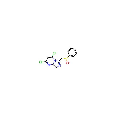 [O-][S+](Cc1ncc2nc(Cl)cc(Cl)n12)c1ccccc1